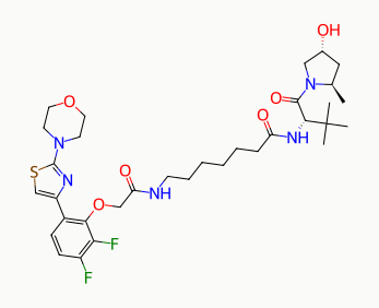 C[C@@H]1C[C@@H](O)CN1C(=O)[C@@H](NC(=O)CCCCCCNC(=O)COc1c(-c2csc(N3CCOCC3)n2)ccc(F)c1F)C(C)(C)C